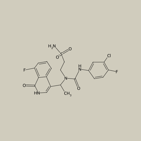 CC(c1c[nH]c(=O)c2c(F)cccc12)N(CCS(N)(=O)=O)C(=O)Nc1ccc(F)c(Cl)c1